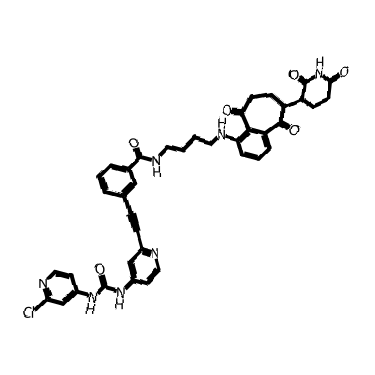 O=C1CCC(C2CCC(=O)c3c(NCCCCNC(=O)c4cccc(C#Cc5cc(NC(=O)Nc6ccnc(Cl)c6)ccn5)c4)cccc3C2=O)C(=O)N1